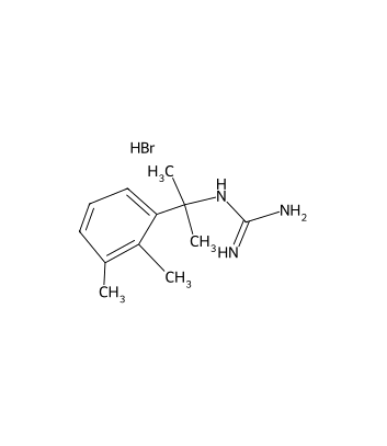 Br.Cc1cccc(C(C)(C)NC(=N)N)c1C